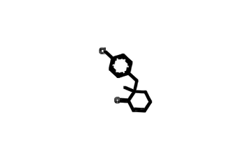 CC1(Cc2ccc(Cl)cc2)CCC=CC1=O